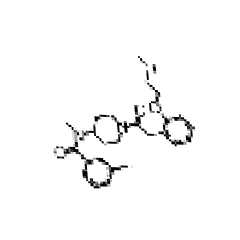 [CH2]c1cccc(C(=O)N(C)C2CCN(C(=O)Cc3ccccc3OCCOC)CC2)c1